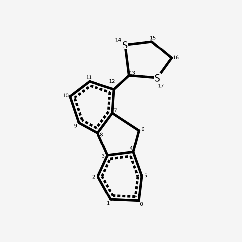 c1ccc2c(c1)Cc1c-2cccc1C1SCCS1